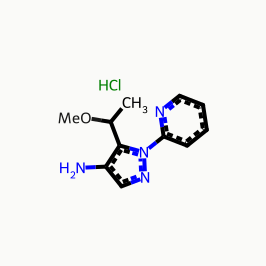 COC(C)c1c(N)cnn1-c1ccccn1.Cl